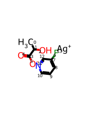 CC(O)C(=O)[O-].Fc1cccnc1.[Ag+]